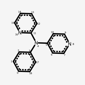 c1ccc(N(c2ccncc2)c2ccccn2)cc1